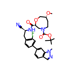 CO[C@@H]1CCN(C(=O)OC(C)(C)C)C[C@@H](C(=O)N[C@H](C#N)Cc2ccc(-c3ccc4cnn(C)c4c3)cc2F)OC1